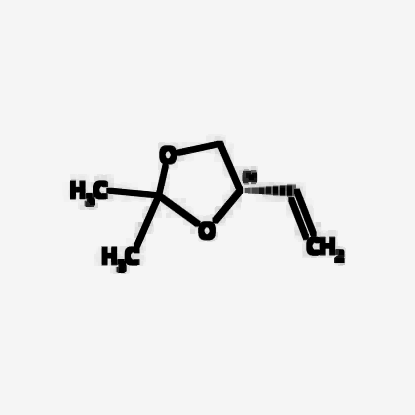 C=C[C@H]1COC(C)(C)O1